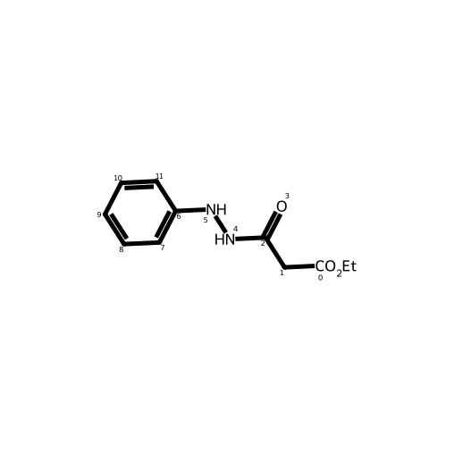 CCOC(=O)CC(=O)NNc1ccccc1